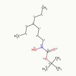 CCCC(CCC)CCCN(O)C(=O)OC(C)(C)C